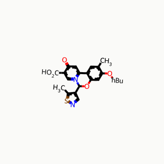 CCCCOc1cc2c(cc1C)-c1cc(=O)c(C(=O)O)cn1C(c1cnsc1C)O2